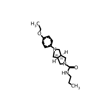 CCCNC(=O)N1C[C@@H]2CN(c3ccc(OCC)cc3)C[C@@H]2C1